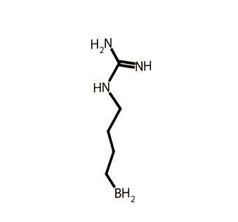 BCCCCNC(=N)N